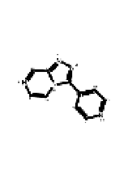 c1cc(-c2nnc3cnccn23)ccn1